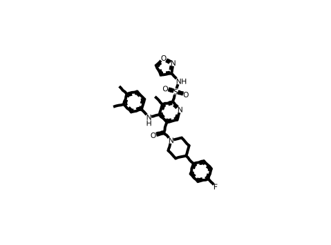 Cc1ccc(Nc2c(C(=O)N3CCC(c4ccc(F)cc4)CC3)cnc(S(=O)(=O)Nc3ccon3)c2C)cc1C